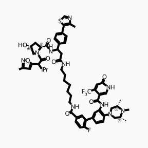 Cc1cc(C(C(=O)N2C[C@H](O)C[C@H]2C(=O)NC(CC(=O)NCCCCCCCNC(=O)c2ccc(F)c(-c3ccc(N4C[C@@H](C)N(C)[C@@H](C)C4)c(NC(=O)c4c[nH]c(=O)cc4C(F)(F)F)c3)c2)c2ccc(-c3scnc3C)cc2)C(C)C)on1